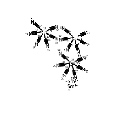 N#[C][Fe-2]([C]#N)([C]#N)([C]#N)([C]#N)[C]#N.N#[C][Fe-2]([C]#N)([C]#N)([C]#N)([C]#N)[C]#N.N#[C][Fe-2]([C]#N)([C]#N)([C]#N)([C]#N)[C]#N.[Sm+3].[Sm+3]